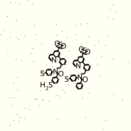 CSc1ccc(N(CCc2cccc(-c3cc(C(C)(C)S(C)(=O)=O)cc4cccnc34)c2)C(=O)c2ccccc2)cc1.CSc1ccc(N(CCc2cccc(-c3cc(C(C)(C)S(C)(=O)=O)cc4cccnc34)c2)C(=O)c2ccccc2)cc1.S